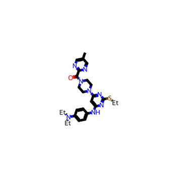 CCSc1nc(Nc2ccc(N(CC)CC)cc2)cc(N2CCN(C(=O)c3ncc(C)cn3)CC2)n1